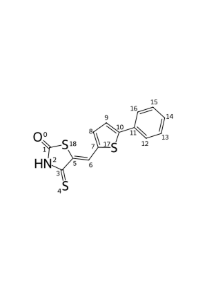 O=C1NC(=S)C(=Cc2ccc(-c3ccccc3)s2)S1